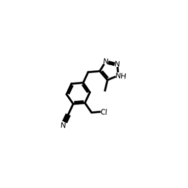 Cc1[nH]nnc1Cc1ccc(C#N)c(CCl)c1